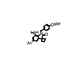 COc1ccc(CN2C(=O)C3(CCC3)c3cc(C(C)=O)cc(BI)c32)cc1